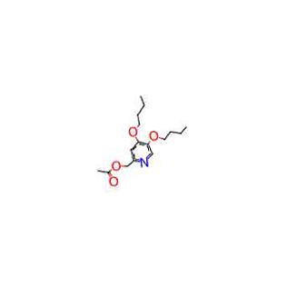 CCCCOc1cnc(COC(C)=O)cc1OCCCC